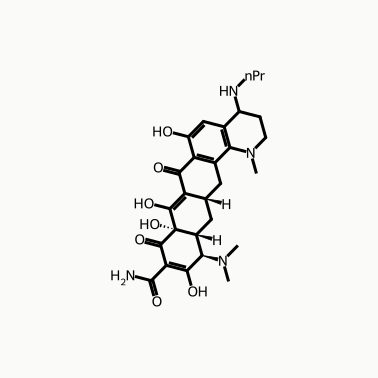 CCCNC1CCN(C)c2c1cc(O)c1c2C[C@@H]2C[C@@H]3[C@@H](N(C)C)C(O)=C(C(N)=O)C(=O)[C@@]3(O)C(O)=C2C1=O